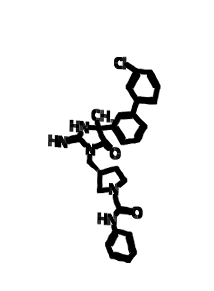 CC1(c2cccc(-c3cccc(Cl)c3)c2)NC(=N)N(C[C@H]2CCN(C(=O)Nc3ccccc3)C2)C1=O